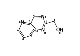 OCc1ncc2ncccc2n1